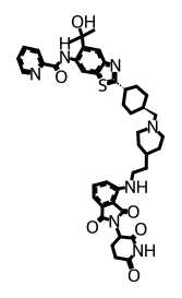 CC(C)(O)c1cc2nc([C@H]3CC[C@H](CN4CCC(CCNc5cccc6c5C(=O)N(C5CCC(=O)NC5=O)C6=O)CC4)CC3)sc2cc1NC(=O)c1ccccn1